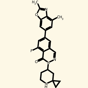 Cc1nc2c(C)cc(-c3cc(F)c4c(=O)n(C5CCNC6(CC6)C5)ncc4c3)cc2o1